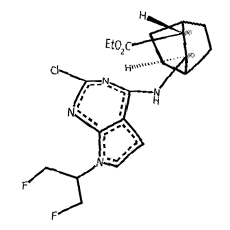 CCOC(=O)[C@@H]1C2CCC(CC2)[C@H]1Nc1nc(Cl)nc2c1ccn2C(CF)CF